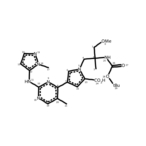 COCC(C)(Cn1cc(-c2nc(Nc3ccnn3C)ncc2C)cc1C(=O)O)NC(=O)OC(C)(C)C